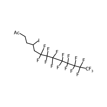 CC(=O)CCC(I)CC(F)(F)C(F)(F)C(F)(F)C(F)(F)C(F)(F)C(F)(F)C(F)(F)C(F)(F)F